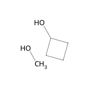 CO.OC1CCC1